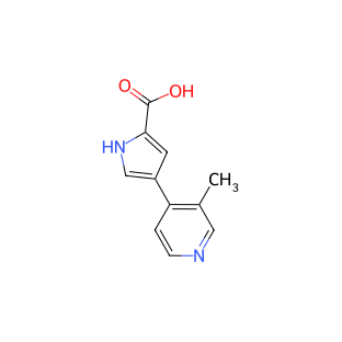 Cc1cnccc1-c1c[nH]c(C(=O)O)c1